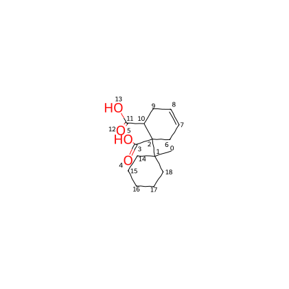 CC1(C2(C(=O)O)CC=CCC2C(=O)O)CCCCC1